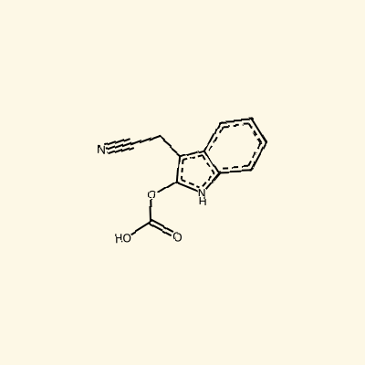 N#CCc1c(OC(=O)O)[nH]c2ccccc12